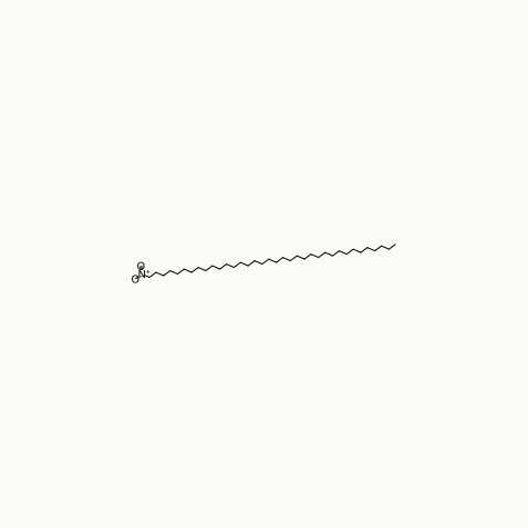 CCCCCCCCCCCCCCCCCCCCCCCCCCCCCCCCCCCC[N+](=O)[O-]